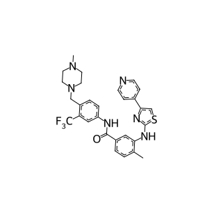 Cc1ccc(C(=O)Nc2ccc(CN3CCN(C)CC3)c(C(F)(F)F)c2)cc1Nc1nc(-c2ccncc2)cs1